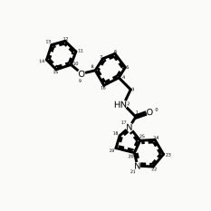 O=C(NCc1cccc(Oc2ccccc2)c1)n1ccc2ncccc21